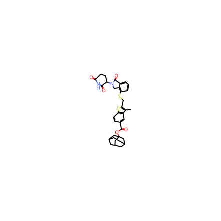 Cc1c(CSc2cccc3c2CN(C2CCC(=O)NC2=O)C3=O)sc2ccc(C(=O)OC34CC5CC(CC(C5)C3)C4)cc12